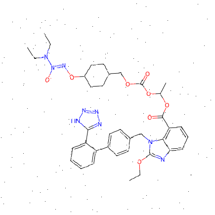 CCOc1nc2cccc(C(=O)OC(C)OC(=O)OCC3CCC(O/N=[N+](\[O-])N(CC)CC)CC3)c2n1Cc1ccc(-c2ccccc2-c2nnn[nH]2)cc1